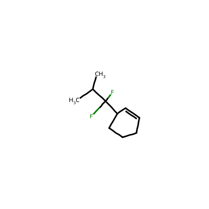 CC(C)C(F)(F)C1C=CCCC1